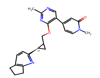 Cc1ncc(-c2ccn(C)c(=O)c2)c(OCC2C[C@H]2c2ccc3c(n2)CCC3)n1